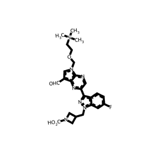 C[Si](C)(C)CCOCn1cc(C=O)c2nc(-c3nn(CC4CN(C(=O)O)C4)c4cc(F)ccc34)cnc21